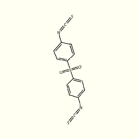 O=S(=O)(c1ccc(N=C=S)cc1)c1ccc(N=C=S)cc1